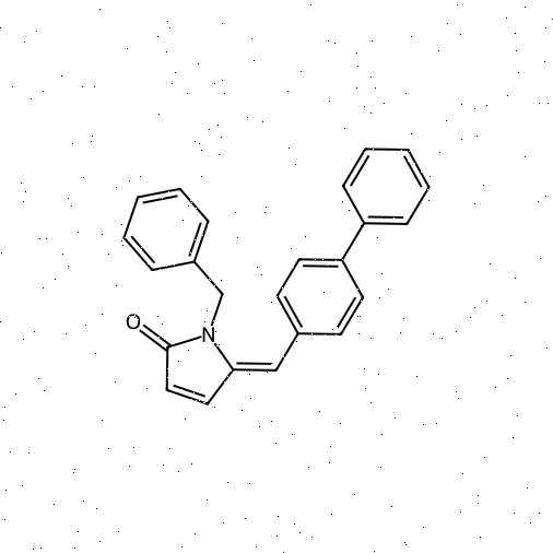 O=C1C=CC(=Cc2ccc(-c3ccccc3)cc2)N1Cc1ccccc1